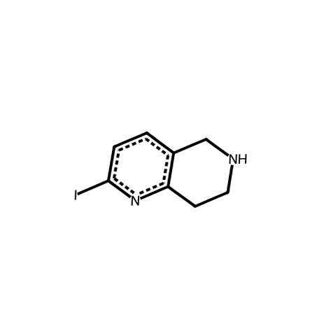 Ic1ccc2c(n1)CCNC2